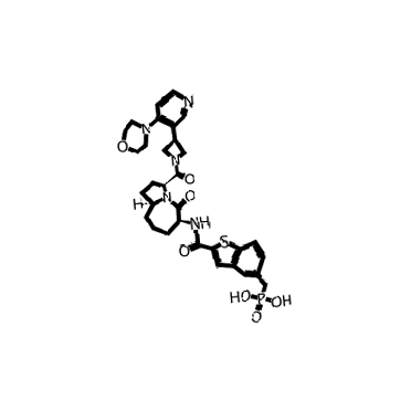 O=C(N[C@H]1CCC[C@H]2CC[C@@H](C(=O)N3CC(c4cnccc4N4CCOCC4)C3)N2C1=O)c1cc2cc(CP(=O)(O)O)ccc2s1